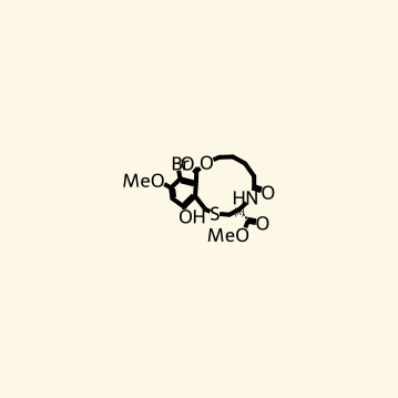 COC(=O)[C@@H]1CSCc2c(O)cc(OC)c(Br)c2C(=O)OCCCCC(=O)N1